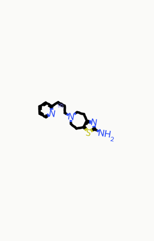 Nc1nc2c(s1)CCN(C/C=C\c1ccccn1)CC2